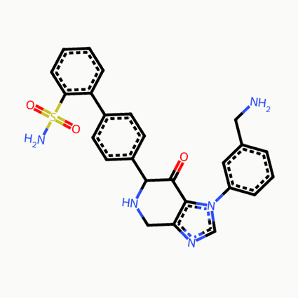 NCc1cccc(-n2cnc3c2C(=O)C(c2ccc(-c4ccccc4S(N)(=O)=O)cc2)NC3)c1